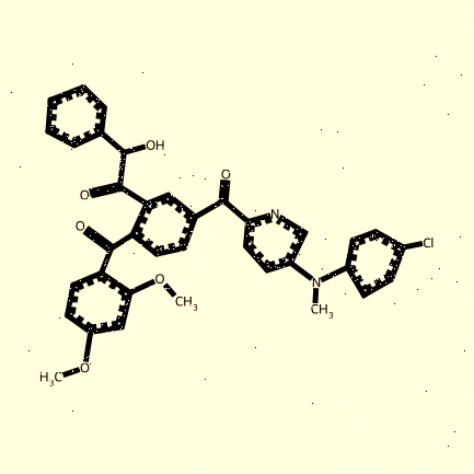 COc1ccc(C(=O)c2ccc(C(=O)c3ccc(N(C)c4ccc(Cl)cc4)cn3)cc2C(=O)C(O)c2ccccc2)c(OC)c1